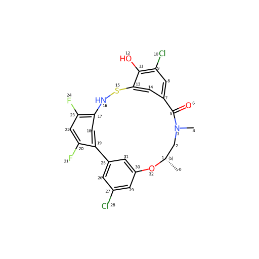 C[C@H]1CN(C)C(=O)c2cc(Cl)c(O)c(c2)SNc2cc(c(F)cc2F)-c2cc(Cl)cc(c2)O1